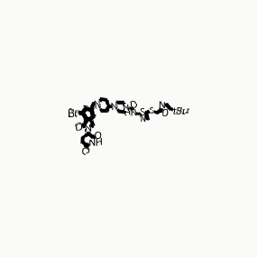 CC(C)(C)c1cnc(CSc2cnc(NC(=O)N3CCN(C4CCN(Cc5cc(Br)c6c(c5)CN(C5CCC(=O)NC5=O)C6=O)CC4)CC3)s2)o1